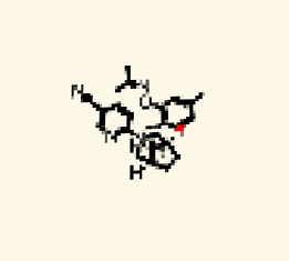 CC(C)=NOc1cc(C)ccc1O[C@@H]1[C@@H]2CC[C@H]1CN(c1ccc(C#N)cn1)C2